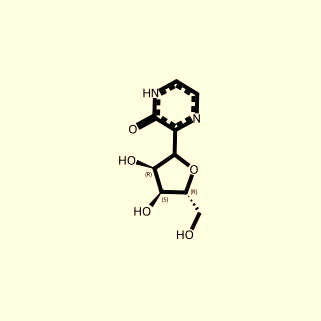 O=c1[nH]ccnc1C1O[C@H](CO)[C@@H](O)[C@H]1O